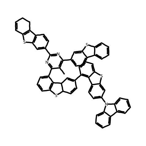 Cc1c(-c2ccc3c(c2)sc2ccccc23)nc(-c2ccc3c4c(sc3c2)C=CCC4)nc1-c1cccc2c1C1C=C(c3cccc4sc5cc(-n6c7ccccc7c7ccccc76)ccc5c34)C=CC1S2